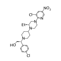 CC[C@H]1CN(c2ncc([N+](=O)[O-])cc2Cl)CCN1C1CCN([C@H](CO)c2ccc(Cl)cc2)CC1